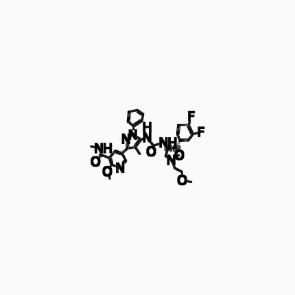 CNC(=O)c1cc(-c2nn(-c3ccccc3)c(NC(=O)N[C@@H]3CN(CCOC)O[C@H]3c3ccc(F)c(F)c3)c2C)cnc1OC